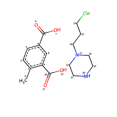 Cc1ccc(C(=O)O)cc1C(=O)O.ClCCCN1CCNCC1